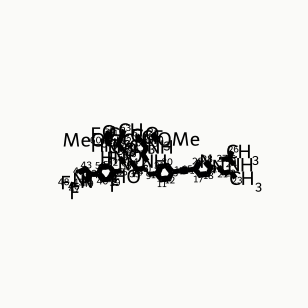 COC(=O)NC(C(=O)N[C@@H](Cc1ccc(C#Cc2ccc(N3CC(C)NC(C)C3)nc2)cc1)[C@@H](O)CN(Cc1c(F)cc(-c2ccn(C(F)F)n2)cc1F)NC(=O)[C@@H](NC(=O)OC)C(C)(C)C(F)(F)F)C(C)(C)C(F)(F)F